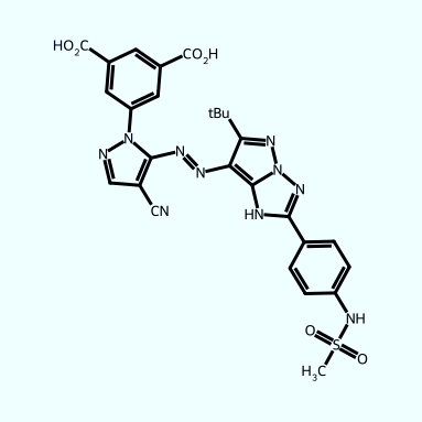 CC(C)(C)c1nn2nc(-c3ccc(NS(C)(=O)=O)cc3)[nH]c2c1/N=N/c1c(C#N)cnn1-c1cc(C(=O)O)cc(C(=O)O)c1